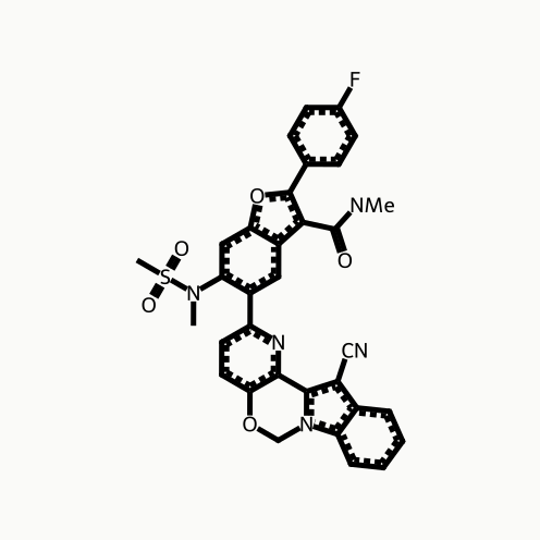 CNC(=O)c1c(-c2ccc(F)cc2)oc2cc(N(C)S(C)(=O)=O)c(-c3ccc4c(n3)-c3c(C#N)c5ccccc5n3CO4)cc12